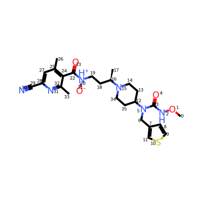 CONC(=O)N(Cc1ccsc1)C1CCN([C@H](C)CC[NH+]([O-])C(=O)c2c(C)cc(C#N)nc2C)CC1